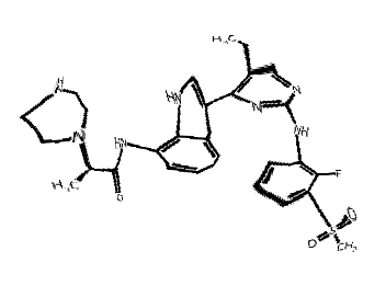 Cc1cnc(Nc2cccc(S(C)(=O)=O)c2F)nc1-c1c[nH]c2c(NC(=O)[C@@H](C)N3CCNCC3)cccc12